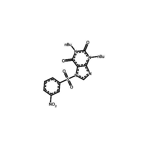 CCCCn1c(=O)c2c(ncn2S(=O)(=O)c2cccc([N+](=O)[O-])c2)n(CCCC)c1=O